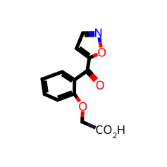 O=C(O)COc1ccccc1C(=O)c1ccno1